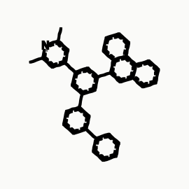 Cc1cc(-c2cc(-c3cccc(-c4ccccc4)c3)cc(-c3cc4ccccc4c4ccccc34)c2)cc(C)n1